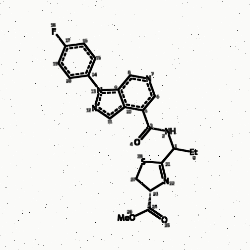 CCC(NC(=O)c1cncc2c1cnn2-c1ccc(F)cc1)C1=N[C@H](C(=O)OC)CS1